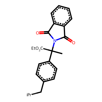 CCOC(=O)C(C)(c1ccc(CC(C)C)cc1)N1C(=O)c2ccccc2C1=O